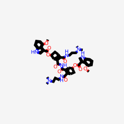 COc1cccc2[nH]cc(C(=O)OC3CC4CC3C(C(=O)NC(=O)C3C5CC(CC5OC(=O)c5c[nH]c6cccc(OC)c56)C3C(=O)NCCCN(C)C)C4C(=O)NCCCN(C)C)c12